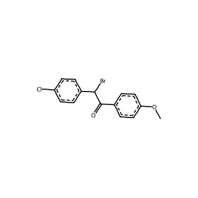 COc1ccc(C(=O)C(Br)c2ccc(Cl)cc2)cc1